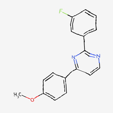 COc1ccc(-c2ccnc(-c3cccc(F)c3)n2)cc1